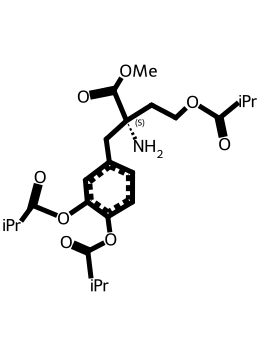 COC(=O)[C@@](N)(CCOC(=O)C(C)C)Cc1ccc(OC(=O)C(C)C)c(OC(=O)C(C)C)c1